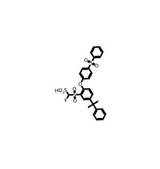 CC(C)(c1ccccc1)c1ccc(Oc2ccc(S(=O)(=O)c3ccccc3)cc2)c(S(=O)(=O)C(F)S(=O)(=O)O)c1